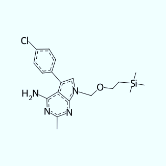 Cc1nc(N)c2c(-c3ccc(Cl)cc3)cn(COCC[Si](C)(C)C)c2n1